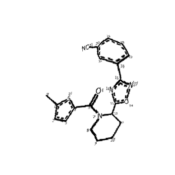 Cc1ccc(C(=O)N2CCCCC2c2nc(-c3cccc(C#N)c3)no2)s1